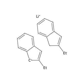 CCC1=Cc2ccccc2C1.CCc1cc2ccccc2[cH-]1.[Li+]